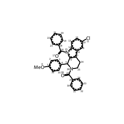 COc1ccc(C2c3c(c4cc(Cl)ccc4n3C(=O)c3ccccc3)CCN2C(=O)c2ccccc2)cc1